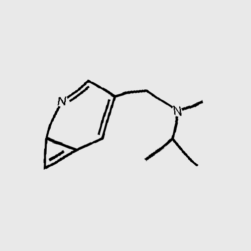 CC(C)N(C)CC1=CC2=CC2N=C1